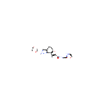 C[C@@H]1Cc2oc(C(=O)NCc3ncco3)c(C(F)(F)F)c2-c2nn(C[C@H]3COCCO3)cc21